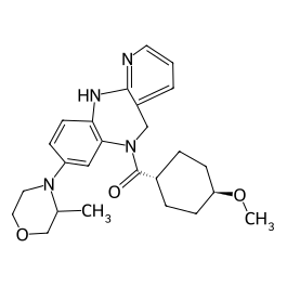 CO[C@H]1CC[C@H](C(=O)N2Cc3cccnc3Nc3ccc(N4CCOCC4C)cc32)CC1